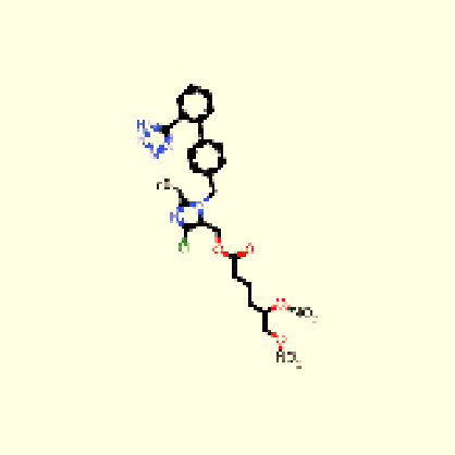 CCCCc1nc(Cl)c(COC(=O)CCCC(CO[N+](=O)[O-])O[N+](=O)[O-])n1Cc1ccc(-c2ccccc2-c2nnn[nH]2)cc1